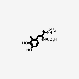 Cc1c(CC(NC(=O)O)C(=O)NN)ccc(O)c1O